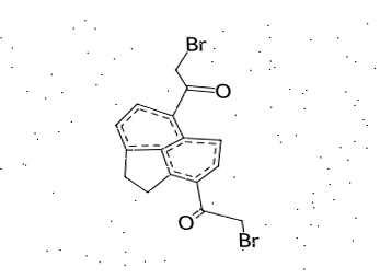 O=C(CBr)c1ccc2c(C(=O)CBr)ccc3c2c1CC3